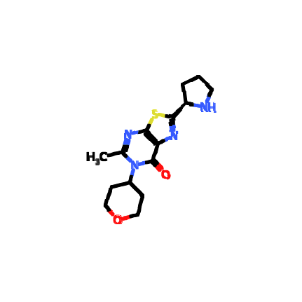 Cc1nc2sc([C@H]3CCCN3)nc2c(=O)n1C1CCOCC1